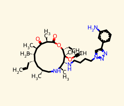 B[C@H]1[C@@H](CC=C)C[C@@H](C)CN[C@H](C)[C@@H](NCCCCn2cc(-c3cccc(N)c3)nn2)[C@](C)(OC#C)[C@@H](CC)OC(=O)[C@H](C)C(=O)[C@@H]1C